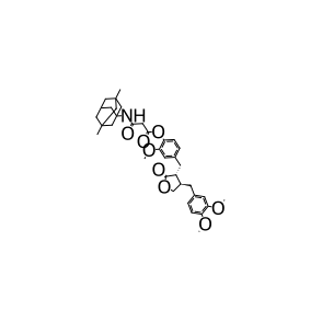 COc1ccc(C[C@H]2COC(=O)[C@@H]2Cc2ccc(OC(=O)CC(=O)NC34CC5CC(C)(CC(C)(C5)C3)C4)c(OC)c2)cc1OC